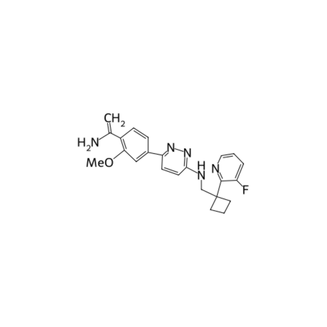 C=C(N)c1ccc(-c2ccc(NCC3(c4ncccc4F)CCC3)nn2)cc1OC